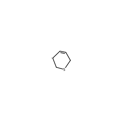 [C]1C=CCSC1